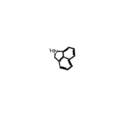 c1cc2c3c(cccc3c1)NC2